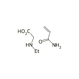 C=CC(N)=O.CCNCC(=O)O